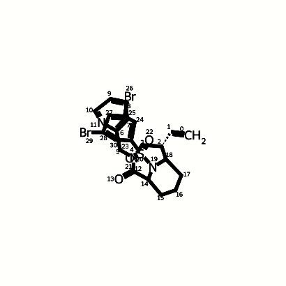 C=C[C@H]1CN(Cc2ccccn2)C(=O)C2CCCC1N2S(=O)(=O)c1cc(Br)cc(Br)c1